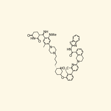 CNc1cc(N2CCN(CCCC[C@H]3CC[C@H](Oc4cccc(-c5ccc(N6CCc7cccc(C(=O)Nc8nc9ccccc9s8)c7C6)nc5C(=O)O)c4C)CC3)CC2)c(C)cc1C(=N)C1CCC(=O)NC1=O